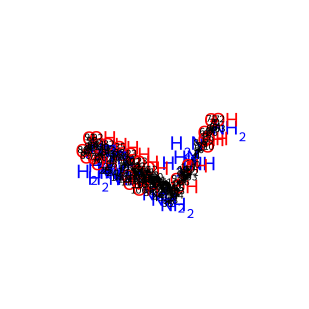 N=C(N)NCCC[C@@H](N)C(=O)O.N=C(N)NCCC[C@H](N)C(=O)O.N=C(N)NCCC[C@H](N)C(=O)O.NCCc1ccccc1.NCCc1ccccc1.NCCc1ccccc1.N[C@@H](CCC(=O)O)C(=O)O.N[C@@H](CCC(=O)O)C(=O)O.N[C@H](CCC(=O)O)C(=O)O.O=C(O)Cc1ccc(O)cc1.O=C(O)Cc1ccc(O)cc1.O=C(O)Cc1ccc(O)cc1